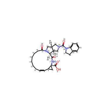 O=C1N[C@]2(C(=O)O)CC2/C=C\CCCCCCC(=O)N2C[C@@H]3CN(C(=O)N4CCc5ccccc54)C[C@@H]3[C@@H]12